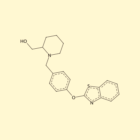 OCC1CCCCN1Cc1ccc(Oc2nc3ccccc3s2)cc1